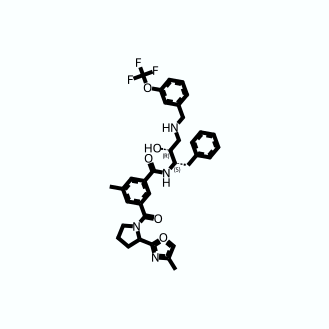 Cc1cc(C(=O)N[C@@H](Cc2ccccc2)[C@H](O)CNCc2cccc(OC(F)(F)F)c2)cc(C(=O)N2CCCC2c2nc(C)co2)c1